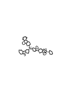 c1ccc(-c2nc3cc4oc5cc(N(c6ccc7c(c6)oc6ccccc67)c6ccc7sc8ccccc8c7c6)ccc5c4cc3o2)cc1